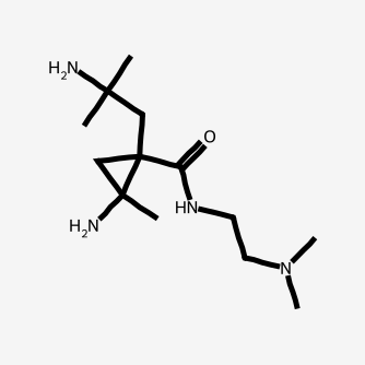 CN(C)CCNC(=O)C1(CC(C)(C)N)CC1(C)N